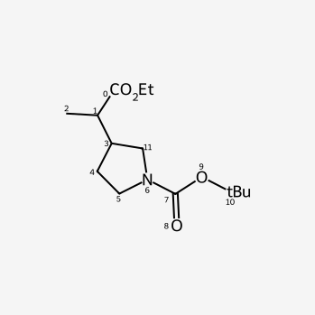 CCOC(=O)C(C)C1CCN(C(=O)OC(C)(C)C)C1